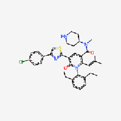 CCc1cccc(CC)c1-n1c(C=C(C)C)c(C(=O)N(C)C2CCNCC2)cc(-c2nc(-c3ccc(Cl)cc3)cs2)c1=O